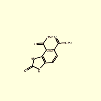 COC(=O)c1ccc2[nH]c(=O)[nH]c2c1C(=O)OC